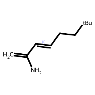 C=C(N)/C=C/CCC(C)(C)C